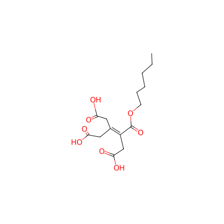 CCCCCCOC(=O)C(CC(=O)O)=C(CC(=O)O)CC(=O)O